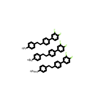 CCCCCc1ccc(CCc2ccc(-c3ccc(F)c(F)c3)cc2)cc1.CCCCc1ccc(CCc2ccc(-c3ccc(F)c(F)c3)cc2)cc1.CCCc1ccc(CCc2ccc(-c3ccc(F)c(F)c3)cc2)cc1